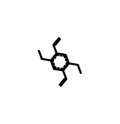 C=Cc1cc(CC)c(C=C)cc1CC